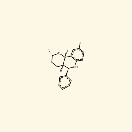 Cc1ccc2c(c1)[C@H]1O[C@@H](C)CC[C@H]1[C@H](c1ccccc1)N2